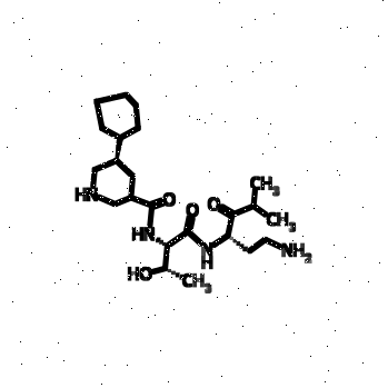 CC(C)C(=O)[C@H](CCN)NC(=O)[C@@H](NC(=O)C1CNC[C@@H](C2CCCCC2)C1)[C@H](C)O